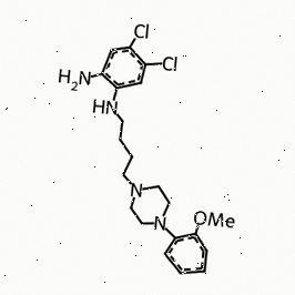 COc1ccccc1N1CCN(CCCCNc2cc(Cl)c(Cl)cc2N)CC1